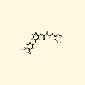 CCN(CC)CCNC(=O)Nc1cc(Oc2ccc(N)c(Cl)c2)ccn1